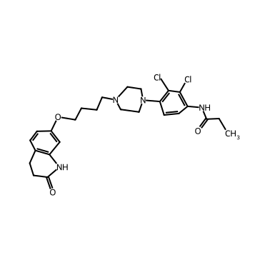 CCC(=O)Nc1ccc(N2CCN(CCCCOc3ccc4c(c3)NC(=O)CC4)CC2)c(Cl)c1Cl